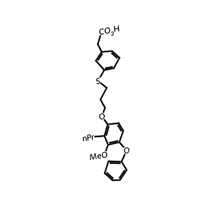 CCCc1c(OCCCSc2cccc(CC(=O)O)c2)ccc(Oc2ccccc2)c1OC